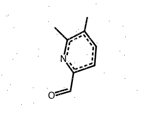 Cc1ccc(C=O)nc1C